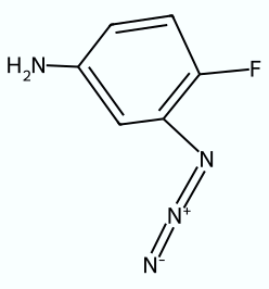 [N-]=[N+]=Nc1cc(N)ccc1F